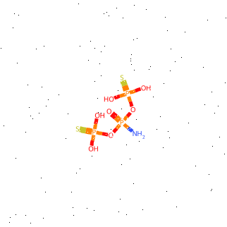 NP(=O)(OP(O)(O)=S)OP(O)(O)=S